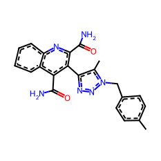 Cc1ccc(Cn2nnc(-c3c(C(N)=O)nc4ccccc4c3C(N)=O)c2C)cc1